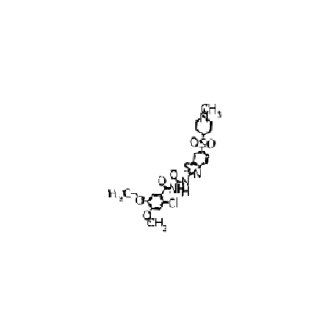 CCOc1cc(C(=O)NC(=O)Nc2nc3ccc(S(=O)(=O)C4CCN(C)CC4)cc3s2)c(Cl)cc1OC